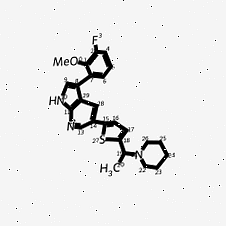 COc1c(F)cccc1-c1c[nH]c2ncc(-c3ccc(C(C)N4CCCCC4)s3)cc12